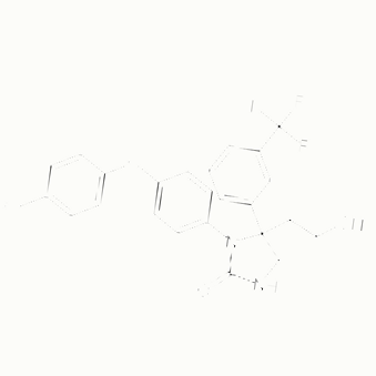 O=C1NCC(CCO)(c2cccc(C(F)(F)F)c2)N1c1ccc(Oc2ccc(Cl)cc2)cc1